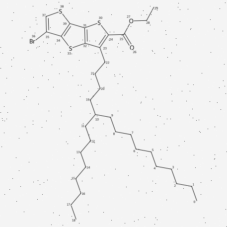 CCCCCCCCCCC(CCCCCCCC)CCCCc1c(C(=O)OCC)sc2c1sc1c(Br)csc12